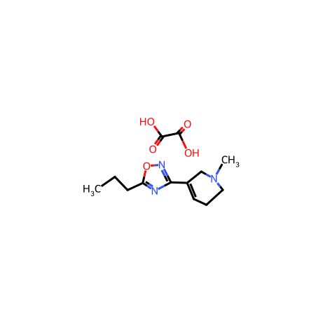 CCCc1nc(C2=CCCN(C)C2)no1.O=C(O)C(=O)O